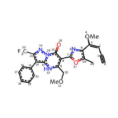 C#C/C=C(/OC)c1nc(-c2c(COC)[nH]c3c(-c4ccccc4)c(C(F)(F)F)nn3c2=O)oc1C